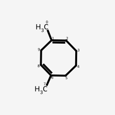 CC1=CCCCC(C)=CC1